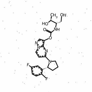 C[C@H](O)[C@H](CO)NC(=O)Oc1cnn2ccc(N3CCC[C@@H]3c3cc(F)ccc3F)nc12